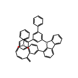 C=C1/C=C\C=C/N(c2ccccc2)c2ccc(-c3cccc4c5ccccc5n(-c5cc(-c6ccccc6)cc(-c6ccccc6)c5)c34)cc21